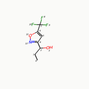 CCC(O)c1cc(C(F)(F)F)on1